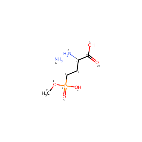 COP(=O)(O)CC[C@H](N)C(=O)O.N